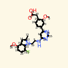 COc1cc(-c2cc(NCCn3c(C)cc4c(OC)ccc(F)c43)ncn2)ccc1CC(=O)O